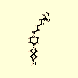 CCC1CC2(C1)CN(C1CCN(CCCCCC(=O)C(C)C)CC1)C2